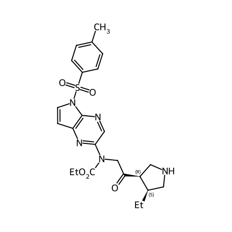 CCOC(=O)N(CC(=O)[C@H]1CNC[C@H]1CC)c1cnc2c(ccn2S(=O)(=O)c2ccc(C)cc2)n1